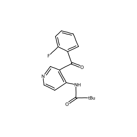 CC(C)(C)C(=O)Nc1ccncc1C(=O)c1ccccc1F